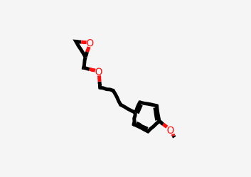 COc1ccc(CCCOCC2CO2)cc1